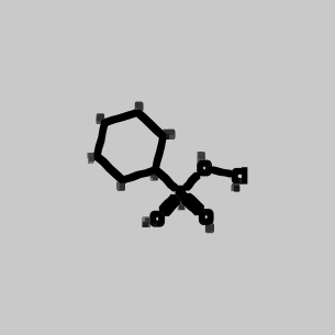 O=S(=O)(OCl)C1CCCCC1